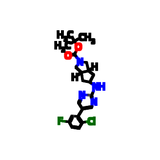 CC(C)(C)OC(=O)N1C[C@H]2CC(Nc3ncc(-c4cc(F)ccc4Cl)cn3)C[C@H]2C1